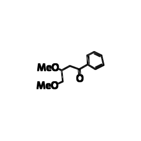 COCC(CC(=O)c1ccccc1)OC